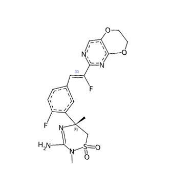 CN1C(N)=N[C@](C)(c2cc(/C=C(\F)c3ncc4c(n3)OCCO4)ccc2F)CS1(=O)=O